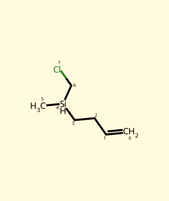 C=CCC[SiH](C)CCl